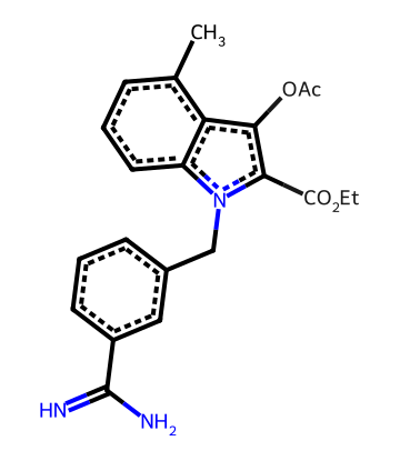 CCOC(=O)c1c(OC(C)=O)c2c(C)cccc2n1Cc1cccc(C(=N)N)c1